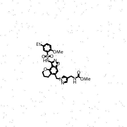 CCc1ccc(OC)c(S(=O)(=O)Nc2noc3cc(Cn4cc(CNC(=O)OC)cn4)c4c(c23)OCCC4)c1